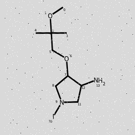 COC(C)(C)COC1CN(I)CC1N